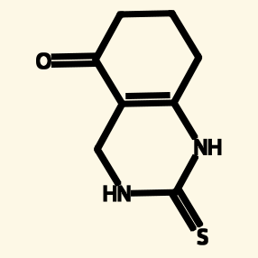 O=C1CCCC2=C1CNC(=S)N2